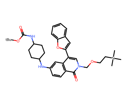 CC(C)(C)OC(=O)NC1CCC(Nc2ccc3c(=O)n(COCC[Si](C)(C)C)cc(-c4cc5ccccc5o4)c3c2)CC1